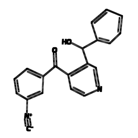 [C-]#[N+]c1cccc(C(=O)c2ccncc2C(O)c2ccccc2)c1